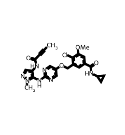 CC#CC(=O)Nc1cnn(C)c1Nc1ncc(OCc2cc(C(=O)NC3CC3)cc(OC)c2Cl)cn1